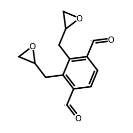 O=[C]c1ccc([C]=O)c(CC2CO2)c1CC1CO1